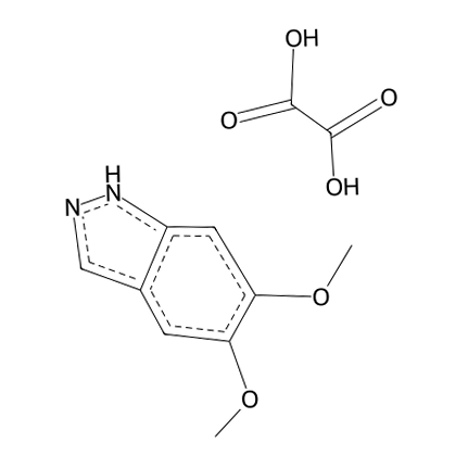 COc1cc2cn[nH]c2cc1OC.O=C(O)C(=O)O